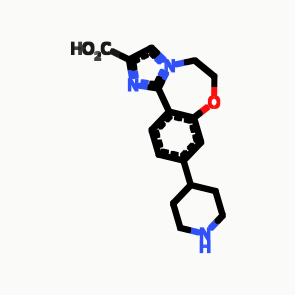 O=C(O)c1cn2c(n1)-c1ccc(C3CCNCC3)cc1OCC2